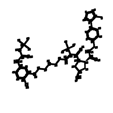 Cc1ncsc1-c1ccc(CNC(=O)[C@@H]2C[C@@H](O)CN2C(=O)[C@@H](NCCOCCOc2cc(NC(=O)OC(C)(C)C)ccc2Cl)C(C)(C)C)cc1